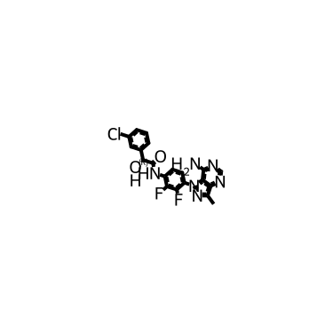 Cc1nn(-c2ccc(NC(=O)[C@H](O)c3cccc(Cl)c3)c(F)c2F)c2c(N)ncnc12